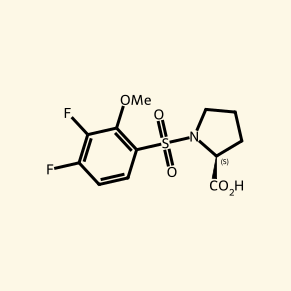 COc1c(S(=O)(=O)N2CCC[C@H]2C(=O)O)ccc(F)c1F